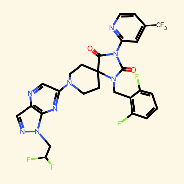 O=C1N(c2cc(C(F)(F)F)ccn2)C(=O)C2(CCN(c3cnc4cnn(CC(F)F)c4n3)CC2)N1Cc1c(F)cccc1F